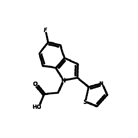 O=C(O)Cn1c(-c2nccs2)cc2cc(F)ccc21